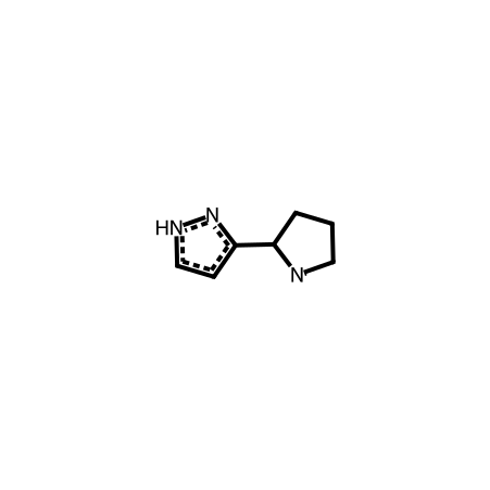 c1cc(C2CCC[N]2)n[nH]1